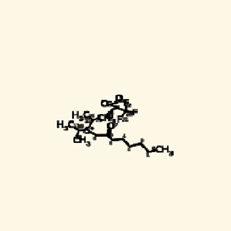 CCCCCCC(=O)C[S+](C(C)C)C(C)C.O=S(=O)([O-])C(F)(F)F